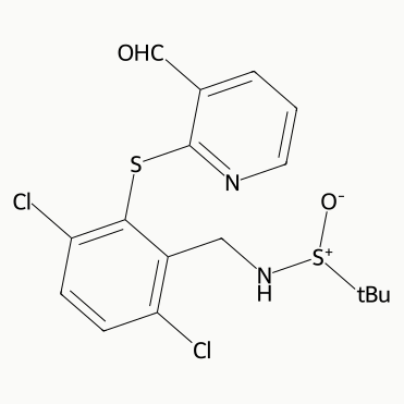 CC(C)(C)[S+]([O-])NCc1c(Cl)ccc(Cl)c1Sc1ncccc1C=O